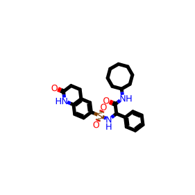 O=C1CCc2cc(S(=O)(=O)NC(C(=O)NC3CCCCCCC3)c3ccccc3)ccc2N1